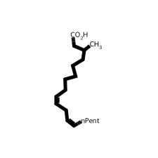 CCCCC/C=C\C/C=C\CCCCCC(C)CC(=O)O